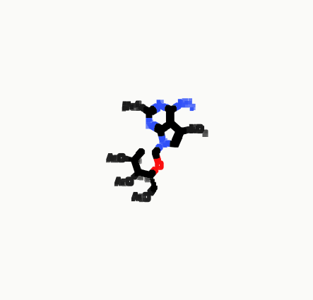 CSc1nc(N)c2c([N+](=O)[O-])cn(CO[C@H](COC(C)=O)[C@@H](OC(C)=O)[C@H](C)OC(C)=O)c2n1